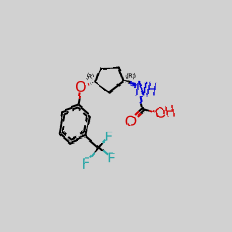 O=C(O)N[C@@H]1CC[C@@H](Oc2cccc(C(F)(F)F)c2)C1